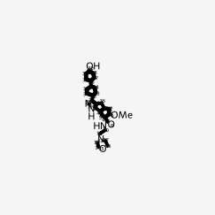 COc1cc2c(cc1C(=O)NCCN1CCOCC1)-c1[nH]nc(-c3ccc(-c4ccc(O)cc4)cc3)c1C2